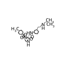 Cc1ccc(S(=O)(=O)N2C=CNC(=O)[C@H]2CC(=O)Nc2cccc(CCCNCC(C)C)c2)cc1